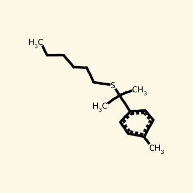 CCCCCCSC(C)(C)c1ccc(C)cc1